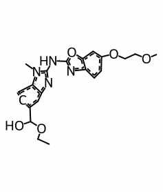 CCOC(O)c1ccc2c(c1)nc(Nc1nc3ccc(OCCOC)cc3o1)n2C